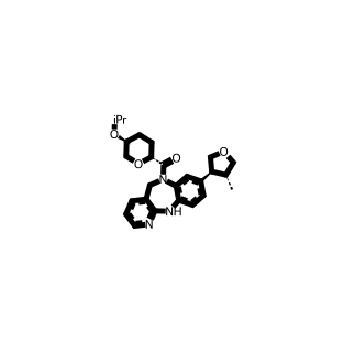 CC(C)O[C@H]1CC[C@H](C(=O)N2Cc3cccnc3Nc3ccc([C@H]4COC[C@@H]4C)cc32)OC1